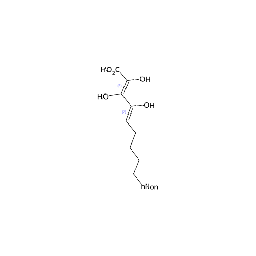 CCCCCCCCCCCCC/C=C(O)/C(O)=C(\O)C(=O)O